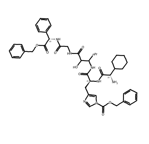 CCCC(NC(=O)[C@H](Cc1cn(C(=O)OCc2ccccc2)cn1)NC(=O)[C@@H](N)C1CCCCC1)C(O)C(=O)NCC(=O)N[C@H](C(=O)OCc1ccccc1)c1ccccc1